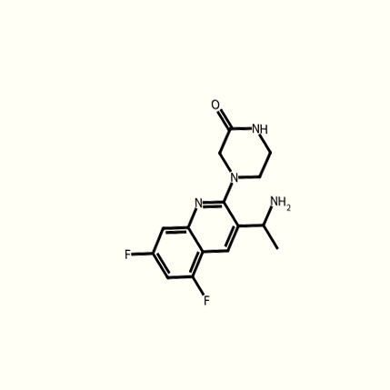 CC(N)c1cc2c(F)cc(F)cc2nc1N1CCNC(=O)C1